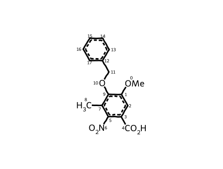 COc1cc(C(=O)O)c([N+](=O)[O-])c(C)c1OCc1ccccc1